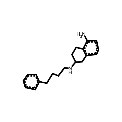 Nc1cccc2c1CCC(NCCCCc1ccccc1)C2